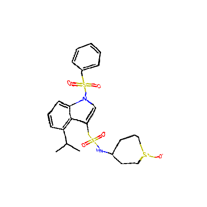 CC(C)c1cccc2c1c(S(=O)(=O)NC1CC[S+]([O-])CC1)cn2S(=O)(=O)c1ccccc1